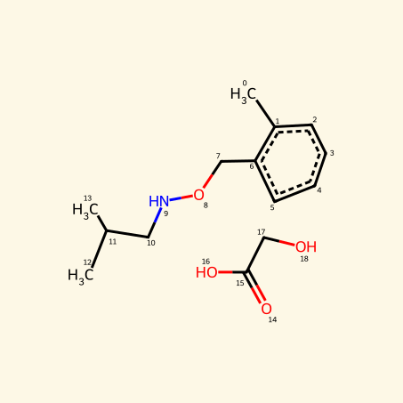 Cc1ccccc1CONCC(C)C.O=C(O)CO